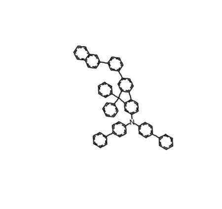 c1ccc(-c2ccc(N(c3ccc(-c4ccccc4)cc3)c3ccc4c(c3)C(c3ccccc3)(c3ccccc3)c3cc(-c5cccc(-c6ccc7ccccc7c6)c5)ccc3-4)cc2)cc1